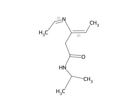 C/C=N\C(=C/C)CC(=O)NC(C)C